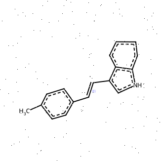 Cc1ccc(/C=C/c2c[nH]c3ccccc23)cc1